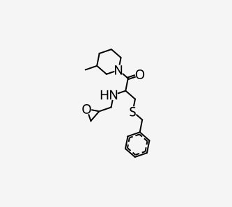 CC1CCCN(C(=O)C(CSCc2ccccc2)NCC2CO2)C1